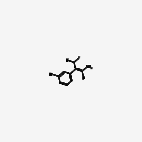 O=[N+]([O-])C(F)=C(c1cccc(Br)c1)C(F)F